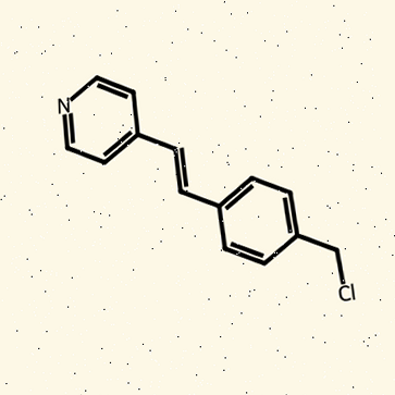 ClCc1ccc(C=Cc2ccncc2)cc1